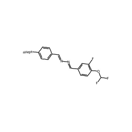 CCCCCCCc1ccc(C=NN=Cc2ccc(OC(F)F)c(F)c2)cc1